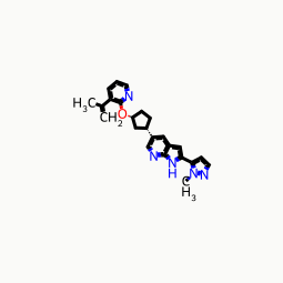 C=C(C)c1cccnc1O[C@@H]1CC[C@H](c2cnc3[nH]c(-c4ccnn4C)cc3c2)C1